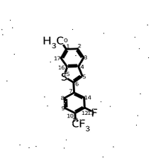 Cc1ccc2cc(-c3ccc(C(F)(F)F)c(F)c3)sc2c1